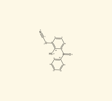 N#COc1cccc(C(=O)c2ccccc2)c1S